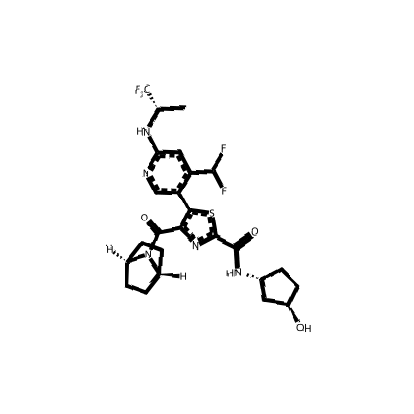 C[C@H](Nc1cc(C(F)F)c(-c2sc(C(=O)N[C@@H]3CC[C@@H](O)C3)nc2C(=O)N2[C@H]3CC[C@H]2CC3)cn1)C(F)(F)F